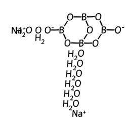 O.O.O.O.O.O.O.O.[Na+].[Na+].[O-]B1OB2OB([O-])OB(O1)O2